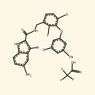 N#Cc1cc(Cl)cc(Oc2c(Cl)ccc(CNC(=O)c3[nH]c4ccc(N)cc4c3Br)c2F)c1.O=C(O)C(F)(F)F